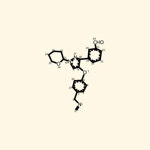 C=NCc1ccc(Oc2cn(C3CCCCO3)nc2-c2cccc(C=O)c2)cc1